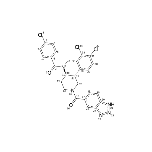 CN(C(=O)c1ccc(Cl)cc1)[C@@H]1CCN(C(=O)c2ccc3[nH]nnc3c2)C[C@H]1c1ccc(Cl)c(Cl)c1